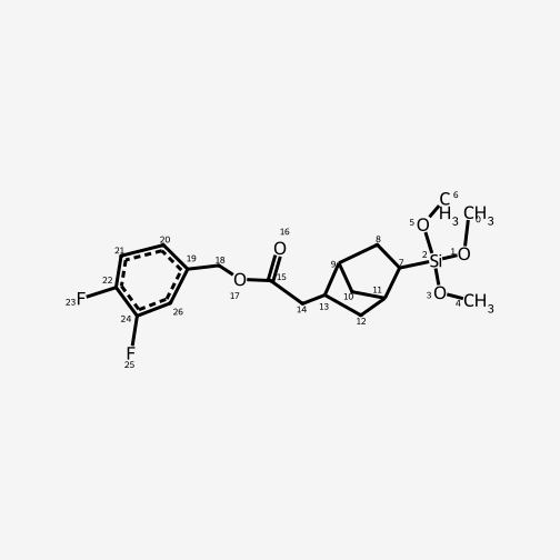 CO[Si](OC)(OC)C1CC2CC1CC2CC(=O)OCc1ccc(F)c(F)c1